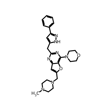 CN1CCN(Cc2cc3nc(Cc4cc(-c5ccccc5)n[nH]4)nc(N4CCOCC4)c3o2)CC1